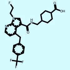 O=C(NCC1CCC(C(=O)O)CC1)c1cn(CCF)c2nccc(Cc3ccc(C(F)(F)F)cc3)c12